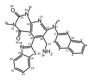 CN(c1ccc2ccccc2c1)c1nc2c(c(-c3nc4ccccc4s3)c1CN)c(=O)n(C)c(=O)n2C